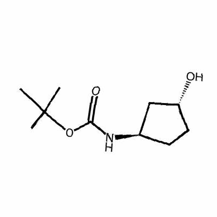 CC(C)(C)OC(=O)N[C@@H]1CC[C@@H](O)C1